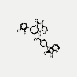 CN(C(=O)N1C[C@H](NC(=O)N2CCC(n3c(=O)[nH]c4ncccc43)CC2)CC[C@@H](c2cccc(F)c2F)C1)C1CCOC1